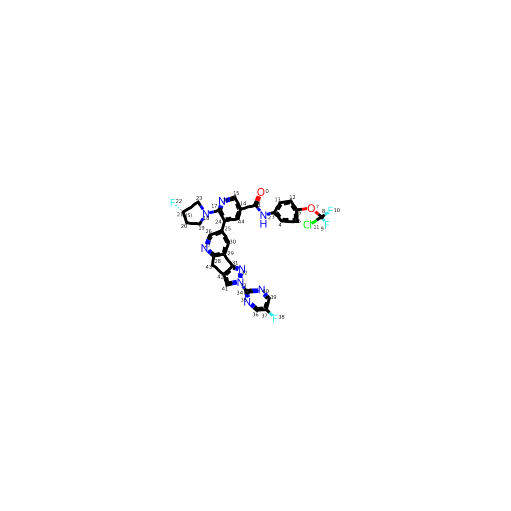 O=C(Nc1ccc(OC(F)(F)Cl)cc1)c1cnc(N2CC[C@H](F)C2)c(-c2cnc3c(c2)-c2nn(-c4ncc(F)cn4)cc2C3)c1